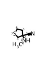 CNC1(C#N)CCSC1